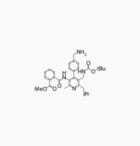 COC(=O)c1ccccc1C(=O)Nc1c(C)nc(CC(C)C)c(CNC(=O)OC(C)(C)C)c1-c1ccc(CN)cc1